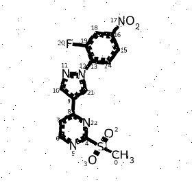 CS(=O)(=O)c1nccc(-c2cnn(-c3ccc([N+](=O)[O-])cc3F)c2)n1